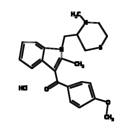 COc1ccc(C(=O)c2c(C)n(CC3CSCCN3C)c3ccccc23)cc1.Cl